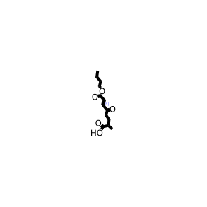 CCCCOC(=O)/C=C/C(=O)CCC(C)C(=O)O